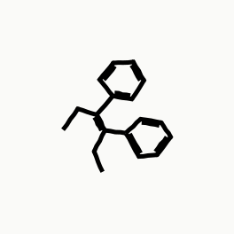 CCC(=C(CC)c1ccccc1)c1ccccc1